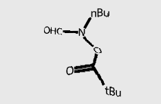 CCCCN(C=O)OC(=O)C(C)(C)C